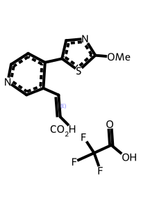 COc1ncc(-c2ccncc2/C=C/C(=O)O)s1.O=C(O)C(F)(F)F